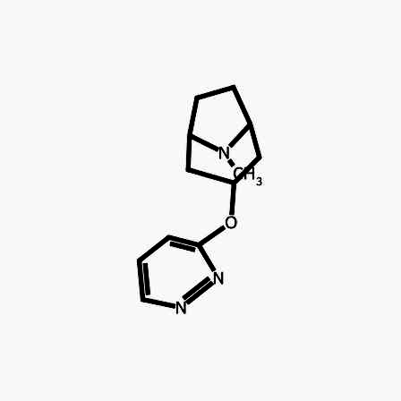 CN1C2CCC1CC(Oc1cccnn1)C2